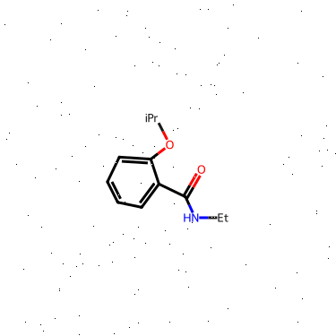 CCNC(=O)c1ccccc1OC(C)C